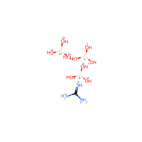 N=C(N)N.OB(O)O.OB(O)O.OB(O)O